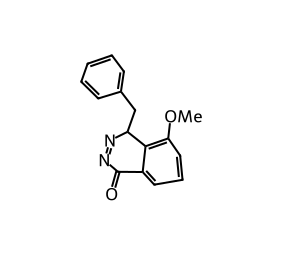 COc1cccc2c1C(Cc1ccccc1)N=NC2=O